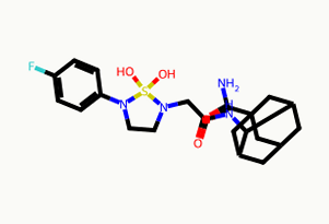 NC(=O)C12CC3CC(C1)C(NC(=O)CN1CCN(c4ccc(F)cc4)S1(O)O)C(C3)C2